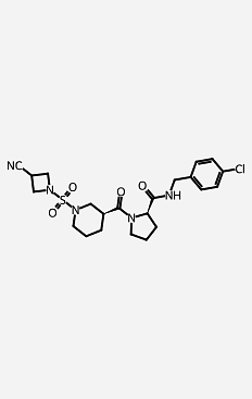 N#CC1CN(S(=O)(=O)N2CCC[C@H](C(=O)N3CCC[C@@H]3C(=O)NCc3ccc(Cl)cc3)C2)C1